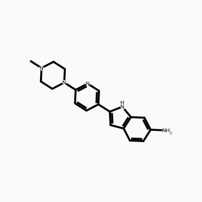 CN1CCN(c2ccc(-c3cc4ccc(N)cc4[nH]3)cn2)CC1